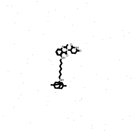 Cc1nc2cccc(NCCCCCCCNC34CC5CC(C)(CC(C)(C5)C3)C4)c2c(=O)n1C1CCC(=O)NC1=O